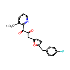 O=C(Cc1ccc(Cc2ccc(F)cc2)o1)C(=O)c1ncccc1C(=O)O